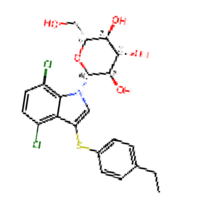 CCc1ccc(Sc2cn([C@@H]3O[C@H](CO)[C@@H](O)[C@H](O)[C@H]3O)c3c(Cl)ccc(Cl)c23)cc1